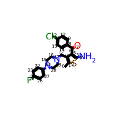 Cc1sc(N)c(C(=O)c2ccc(Cl)cc2)c1CN1CCN(c2ccc(F)cc2)CC1